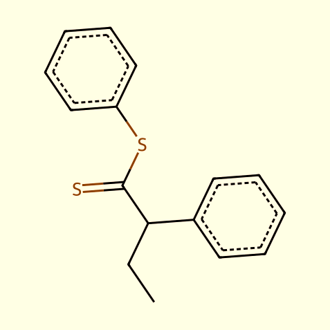 CCC(C(=S)Sc1ccccc1)c1ccccc1